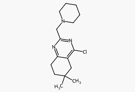 CC1(C)CCc2nc(CN3CCCCC3)nc(Cl)c2C1